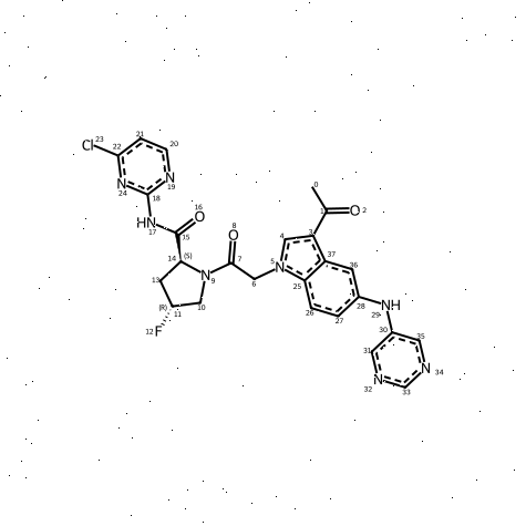 CC(=O)c1cn(CC(=O)N2C[C@H](F)C[C@H]2C(=O)Nc2nccc(Cl)n2)c2ccc(Nc3cncnc3)cc12